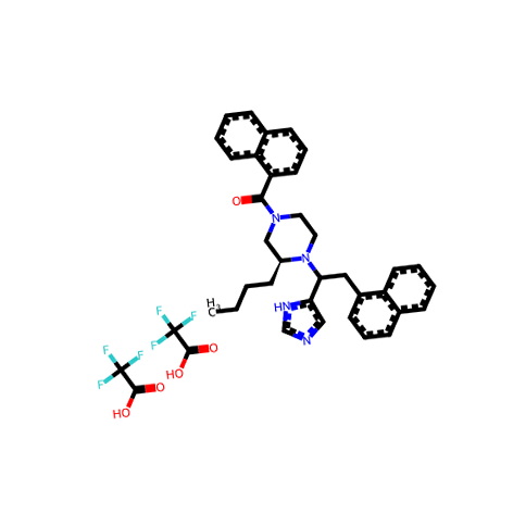 CCCC[C@H]1CN(C(=O)c2cccc3ccccc23)CCN1C(Cc1cccc2ccccc12)c1cnc[nH]1.O=C(O)C(F)(F)F.O=C(O)C(F)(F)F